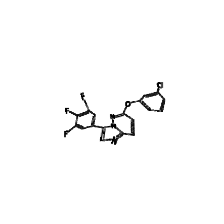 Fc1cc(-c2cnc3ccc(Oc4cccc(Cl)c4)nn23)cc(F)c1F